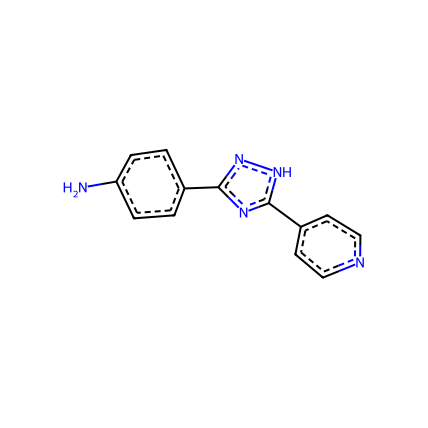 Nc1ccc(-c2n[nH]c(-c3ccncc3)n2)cc1